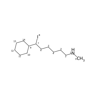 CNCCCCCC(I)C1CCCCC1